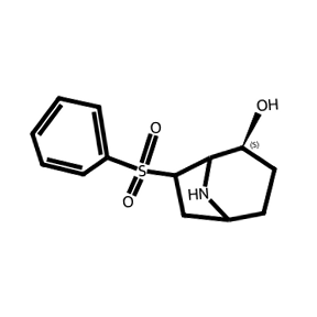 O=S(=O)(c1ccccc1)C1CC2CC[C@H](O)C1N2